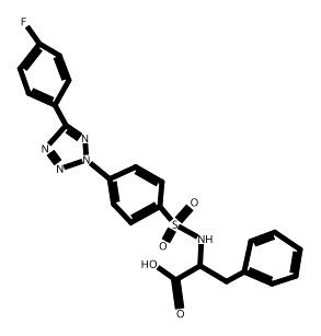 O=C(O)C(Cc1ccccc1)NS(=O)(=O)c1ccc(-n2nnc(-c3ccc(F)cc3)n2)cc1